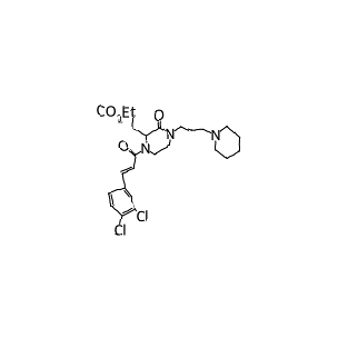 CCOC(=O)CC1C(=O)N(CCCN2CCCCC2)CCN1C(=O)C=Cc1ccc(Cl)c(Cl)c1